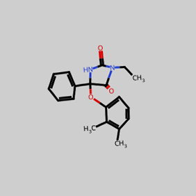 CCN1C(=O)NC(Oc2cccc(C)c2C)(c2ccccc2)C1=O